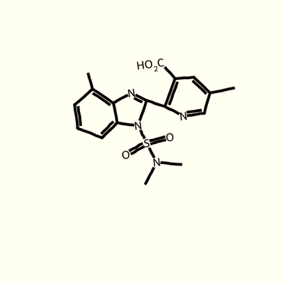 Cc1cnc(-c2nc3c(C)cccc3n2S(=O)(=O)N(C)C)c(C(=O)O)c1